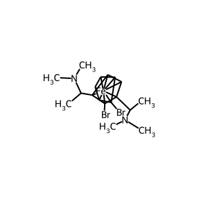 CC(N(C)C)[C]12[CH]3[CH]4[C]5(C(C)N(C)C)[C]1(Br)[Fe]34251678[CH]2[CH]1[CH]6[C]7(Br)[CH]28